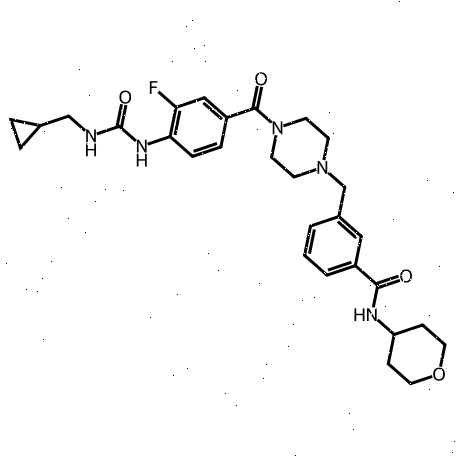 O=C(NCC1CC1)Nc1ccc(C(=O)N2CCN(Cc3cccc(C(=O)NC4CCOCC4)c3)CC2)cc1F